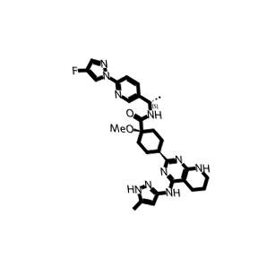 CO[C@]1(C(=O)N[C@@H](C)c2ccc(-n3cc(F)cn3)nc2)CC[C@H](c2nc3c(c(Nc4cc(C)[nH]n4)n2)CCCN3)CC1